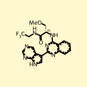 COC[C@H](Nc1nc(-c2c[nH]c3ncncc23)nc2ccccc12)C(=O)NCC(F)(F)F